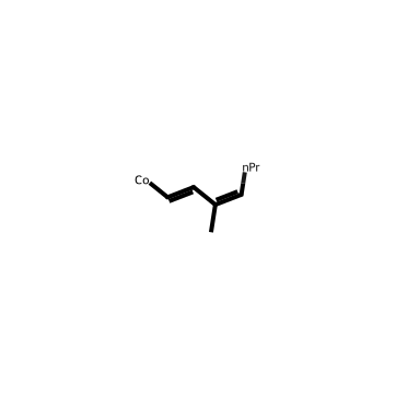 CCCC=C(C)C=[CH][Co]